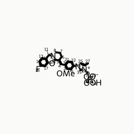 COc1cc(C=C2CCCN([C@@H](C)c3ccc(F)cc3)C2=O)ccc1-n1cc(C)[n+](COP(=O)([O-])O)c1